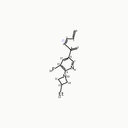 C=C/C=C\C(=C)c1cnc(N2CC(CC)C2)c(F)c1